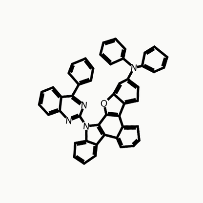 c1ccc(-c2nc(-n3c4ccccc4c4c5ccccc5c5c6ccc(N(c7ccccc7)c7ccccc7)cc6oc5c43)nc3ccccc23)cc1